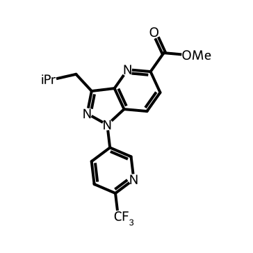 COC(=O)c1ccc2c(n1)c(CC(C)C)nn2-c1ccc(C(F)(F)F)nc1